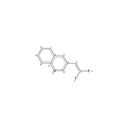 FC(F)=Cc1[c]c2ccccc2nc1